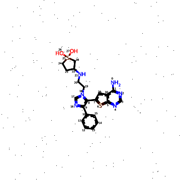 Nc1ncnc2sc(-c3c(-c4ccccc4)ncn3CCNC3CCS(O)(O)C3)cc12